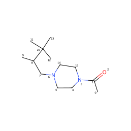 CC(=O)N1CCN(CC(C)C(C)(C)C)CC1